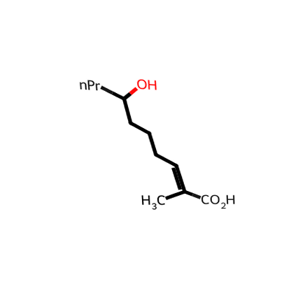 CCCC(O)CCCC=C(C)C(=O)O